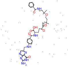 CC(C)(CCOC(C)(C)CCNC(=O)c1ccccc1)OBC(=O)CCC(NC(=O)c1ccc(NCc2cnc3nc(N)[nH]c(=O)c3n2)cc1)C(=O)O